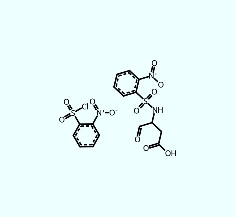 O=CC(CC(=O)O)NS(=O)(=O)c1ccccc1[N+](=O)[O-].O=[N+]([O-])c1ccccc1S(=O)(=O)Cl